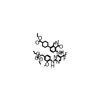 CCOC(=O)C1CCC(c2ccc(Nc3nc(Nc4ccc(CP(=O)(OCC)OCC)cc4OC)ncc3C(F)(F)F)c3c2CN(C)C3=O)CC1